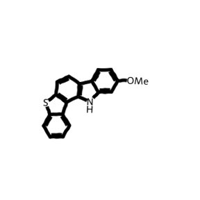 COc1ccc2c(c1)[nH]c1c2ccc2sc3ccccc3c21